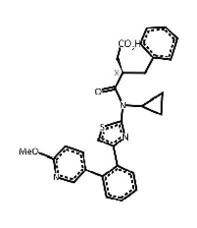 COc1ccc(-c2ccccc2-c2csc(N(C(=O)[C@@H](CC(=O)O)Cc3ccccc3)C3CC3)n2)cn1